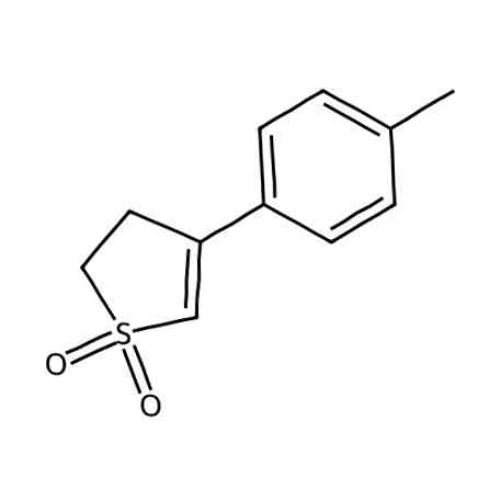 Cc1ccc(C2=CS(=O)(=O)CC2)cc1